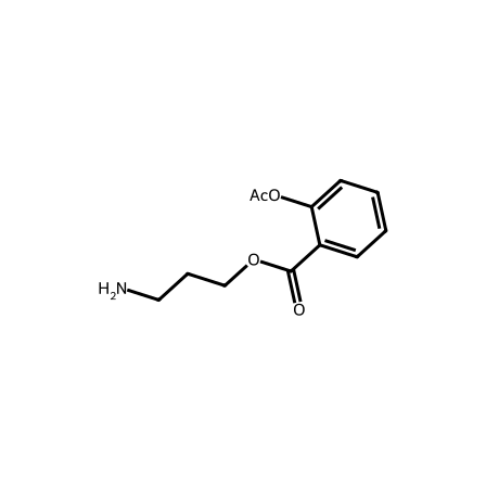 CC(=O)Oc1ccccc1C(=O)OCCCN